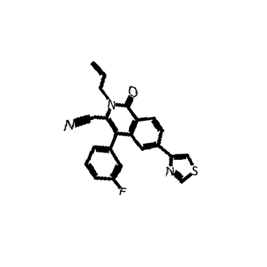 C=CCn1c(C#N)c(-c2cccc(F)c2)c2cc(-c3cscn3)ccc2c1=O